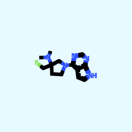 CN(C)C1(CF)CCN(c2ncnc3[nH]ccc23)C1